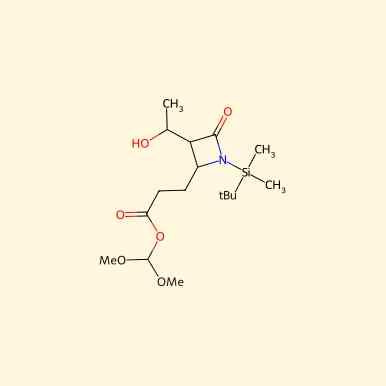 COC(OC)OC(=O)CCC1C(C(C)O)C(=O)N1[Si](C)(C)C(C)(C)C